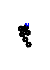 c1ccc(-c2ccc(-c3cccc4c3-c3ccccc3C4(c3ccccc3)c3ccncc3)cc2)cc1